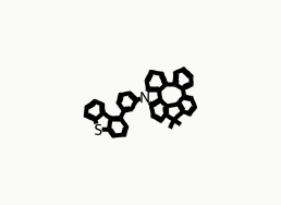 CC1(C)c2cccc3c4ccccc4c4cccc5c4c4c(c1ccc4n5-c1cccc(-c4cccc5sc6ccccc6c45)c1)c23